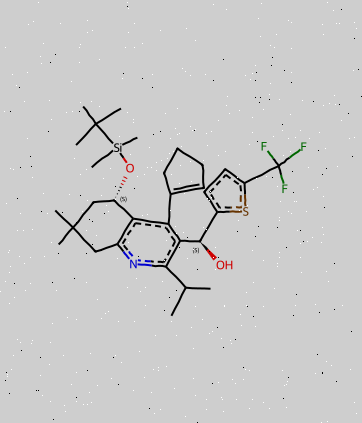 CC(C)c1nc2c(c(C3=CCCC3)c1[C@H](O)c1ccc(C(F)(F)F)s1)[C@@H](O[Si](C)(C)C(C)(C)C)CC(C)(C)C2